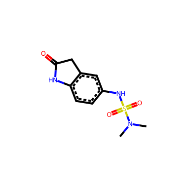 CN(C)S(=O)(=O)Nc1ccc2c(c1)CC(=O)N2